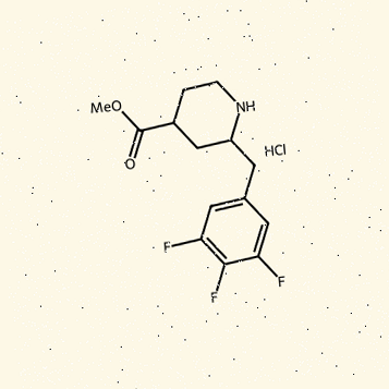 COC(=O)C1CCNC(Cc2cc(F)c(F)c(F)c2)C1.Cl